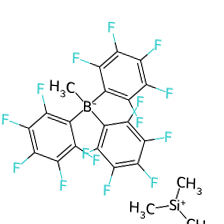 C[B-](c1c(F)c(F)c(F)c(F)c1F)(c1c(F)c(F)c(F)c(F)c1F)c1c(F)c(F)c(F)c(F)c1F.C[Si+](C)C